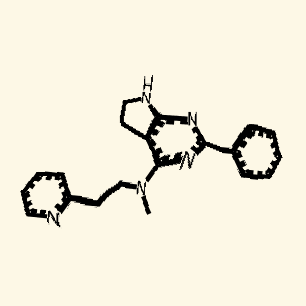 CN(CCc1ccccn1)c1nc(-c2ccccc2)nc2c1CCN2